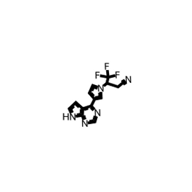 N#CCC(n1ccc(-c2ncnc3[nH]ccc23)c1)C(F)(F)F